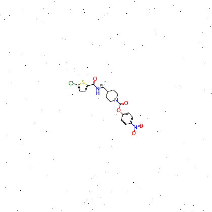 C[C@@H](NC(=O)c1ccc(Cl)s1)C1CCN(C(=O)Oc2ccc([N+](=O)[O-])cc2)CC1